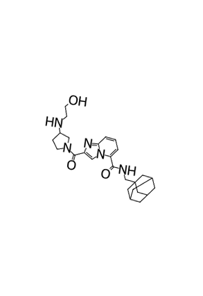 O=C(NCC12CC3CC(CC(C3)C1)C2)c1cccc2nc(C(=O)N3CCC(NCCO)C3)cn12